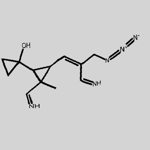 CC1(C=N)C(/C=C(\C=N)CN=[N+]=[N-])C1C1(O)CC1